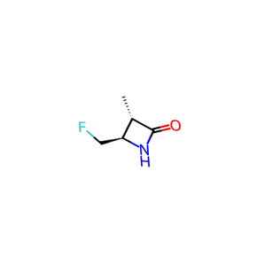 C[C@@H]1C(=O)N[C@H]1CF